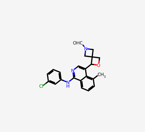 Cc1cccc2c(Nc3cccc(Cl)c3)ncc(C3OCC34CN(C=O)C4)c12